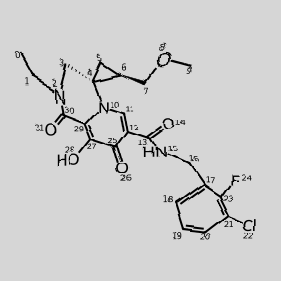 CCN1C[C@@]2(C[C@H]2COC)n2cc(C(=O)NCc3cccc(Cl)c3F)c(=O)c(O)c2C1=O